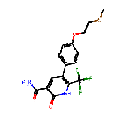 CSCCOc1ccc(-c2cc(C(N)=O)c(=O)[nH]c2C(F)(F)F)cc1